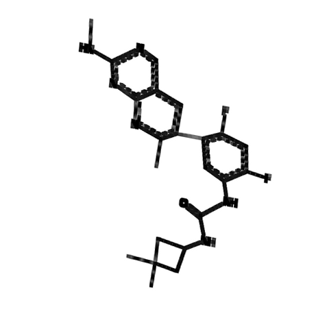 CNc1ncc2cc(-c3cc(NC(=O)NC4CC(C)(C)C4)c(F)cc3F)c(C)nc2n1